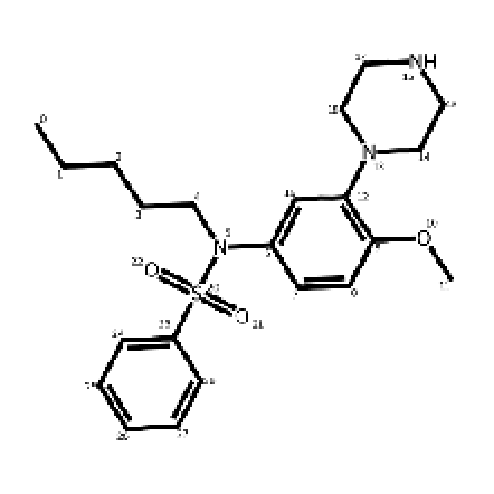 CCCCCN(c1ccc(OC)c(N2CCNCC2)c1)S(=O)(=O)c1ccccc1